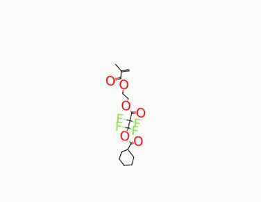 C=C(C)C(=O)OCCOC(=O)C(F)(F)C(F)(F)OC(=O)C1CCCCC1